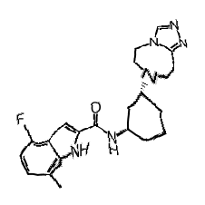 Cc1ccc(F)c2cc(C(=O)N[C@@H]3CCC[C@@H](N4CCn5cnnc5C4)C3)[nH]c12